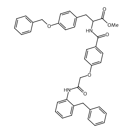 COC(=O)C(Cc1ccc(OCc2ccccc2)cc1)NC(=O)c1ccc(OCC(=O)Nc2ccccc2Cc2ccccc2)cc1